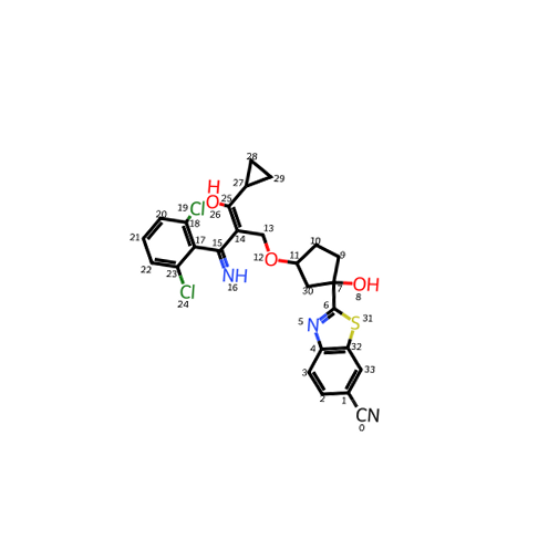 N#Cc1ccc2nc(C3(O)CCC(OC/C(C(=N)c4c(Cl)cccc4Cl)=C(/O)C4CC4)C3)sc2c1